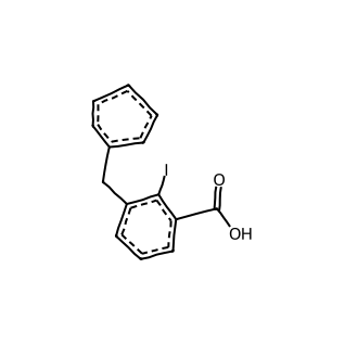 O=C(O)c1cccc(Cc2ccccc2)c1I